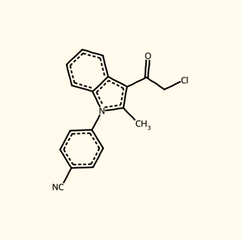 Cc1c(C(=O)CCl)c2ccccc2n1-c1ccc(C#N)cc1